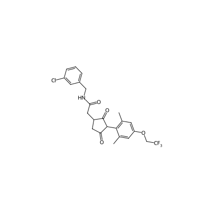 Cc1cc(OCC(F)(F)F)cc(C)c1C1C(=O)CC(CC(=O)NCc2cccc(Cl)c2)C1=O